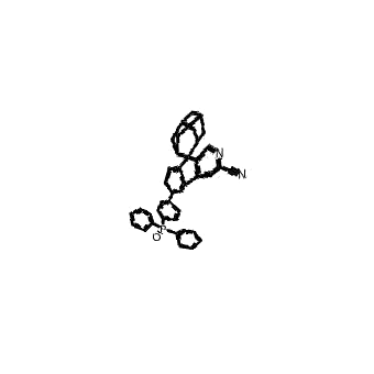 N#Cc1cc2c(cn1)C1(c3ccc(-c4ccc(P(=O)(c5ccccc5)c5ccccc5)cc4)cc3-2)C2CC3CC(C2)CC1C3